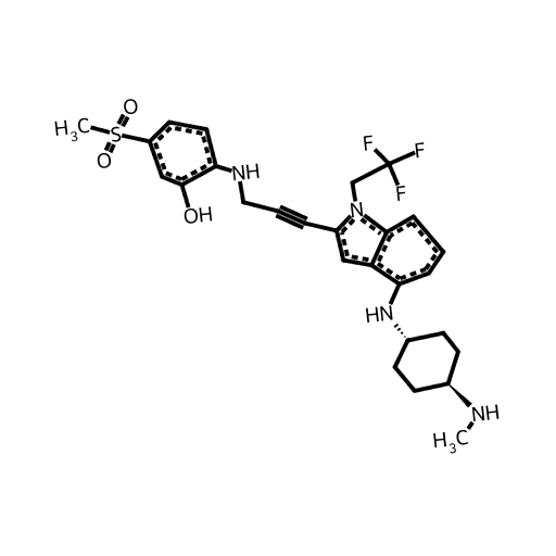 CN[C@H]1CC[C@H](Nc2cccc3c2cc(C#CCNc2ccc(S(C)(=O)=O)cc2O)n3CC(F)(F)F)CC1